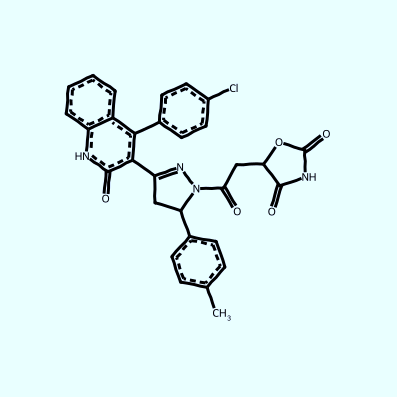 Cc1ccc(C2CC(c3c(-c4ccc(Cl)cc4)c4ccccc4[nH]c3=O)=NN2C(=O)CC2OC(=O)NC2=O)cc1